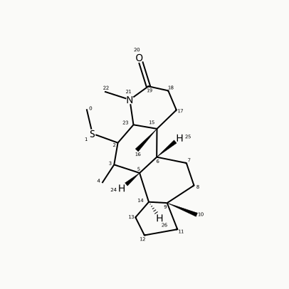 CSC1C(C)[C@@H]2[C@@H](CC[C@]3(C)CCC[C@@H]23)[C@@]2(C)CCC(=O)N(C)C12